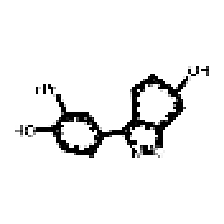 CCCc1cc(-c2noc3cc(O)ccc23)ccc1O